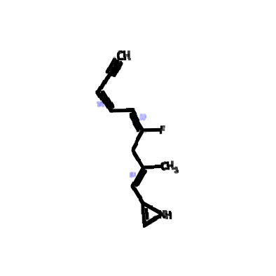 C#C/C=C\C=C(\F)C/C(C)=C/C1=CN1